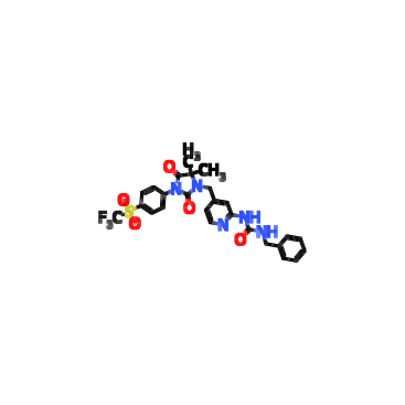 CC1(C)C(=O)N(c2ccc(S(=O)(=O)C(F)(F)F)cc2)C(=O)N1Cc1ccnc(NC(=O)NCc2ccccc2)c1